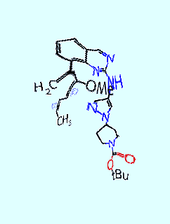 C=C(/C(=C\C=C/C)OC)c1cccc2cnc(Nc3cnn(C4CCN(C(=O)OC(C)(C)C)CC4)c3)nc12